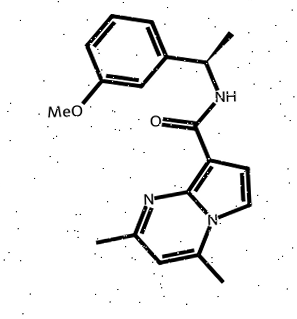 COc1cccc([C@@H](C)NC(=O)c2ccn3c(C)cc(C)nc23)c1